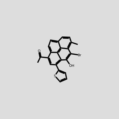 CC(=O)c1cc(-c2cccs2)c2c(O)c(Br)c3c(C)ccc4ccc1c2c43